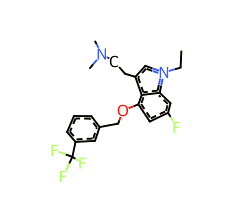 CCn1cc(CCN(C)C)c2c(OCc3cccc(C(F)(F)F)c3)cc(F)cc21